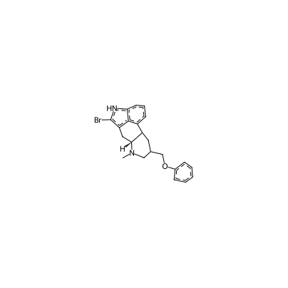 CN1CC(COc2ccccc2)CC2c3cccc4[nH]c(Br)c(c34)C[C@H]21